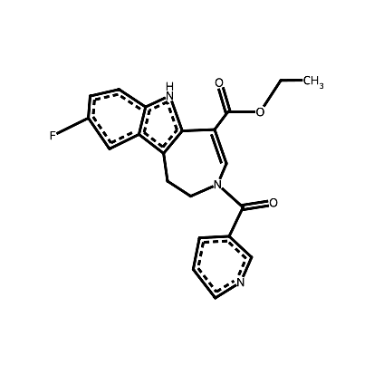 CCOC(=O)C1=CN(C(=O)c2cccnc2)CCc2c1[nH]c1ccc(F)cc21